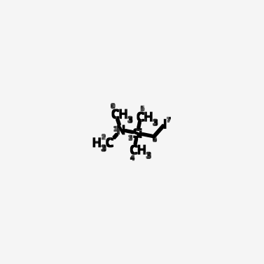 CN(C)[Si](C)(C)CI